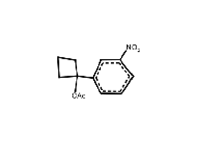 CC(=O)OC1(c2cccc([N+](=O)[O-])c2)CCC1